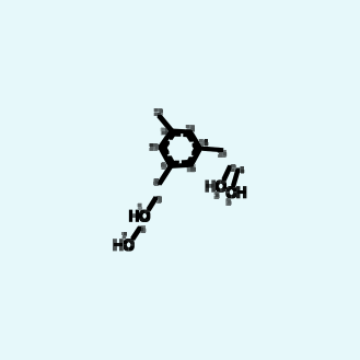 CO.CO.CO.CO.Cc1cc(C)cc(C)c1